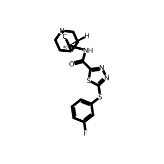 O=C(N[C@H]1CN2CCC1CC2)c1nnc(Sc2cccc(F)c2)s1